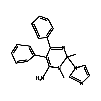 CN1C(N)=C(c2ccccc2)C(c2ccccc2)=NC1(C)n1ccnc1